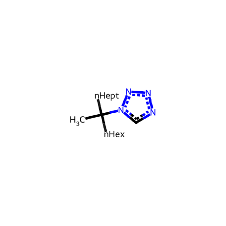 CCCCCCCC(C)(CCCCCC)n1cnnn1